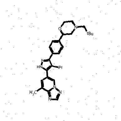 Cc1cc(-c2[nH]nc(-c3ccc(C4CN(CC(C)(C)C)CCO4)cc3)c2C(C)C)cn2ncnc12